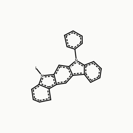 In1c2ccccc2c2cc3c4ccccc4n(-c4ccccc4)c3cc21